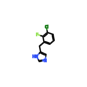 Fc1c(Cl)cccc1Cc1cnc[nH]1